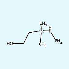 C[Si](C)(CCO)PP